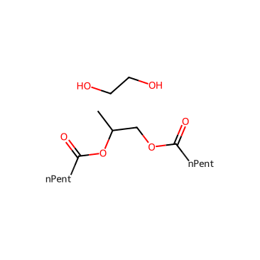 CCCCCC(=O)OCC(C)OC(=O)CCCCC.OCCO